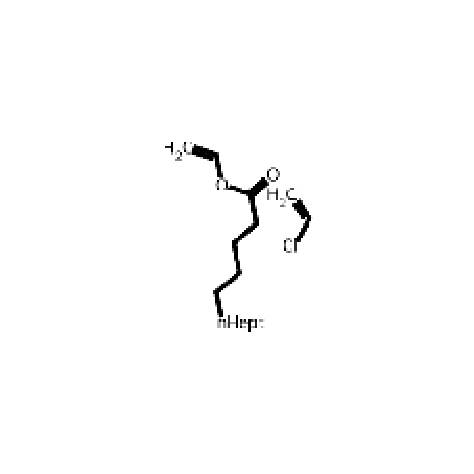 C=CCl.C=COC(=O)CCCCCCCCCCC